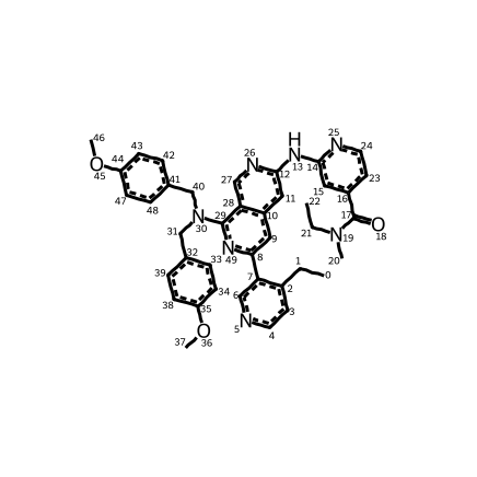 CCc1ccncc1-c1cc2cc(Nc3cc(C(=O)N(C)CC)ccn3)ncc2c(N(Cc2ccc(OC)cc2)Cc2ccc(OC)cc2)n1